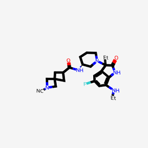 CCNc1cc(F)cc2c1NC(=O)C2(CC)N1CCC[C@@H](NC(=O)C2CC3(C2)CN(C#N)C3)C1